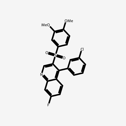 COc1ccc(S(=O)(=O)c2cnc3cc(F)ccc3c2-c2cccc(Cl)c2)cc1OC